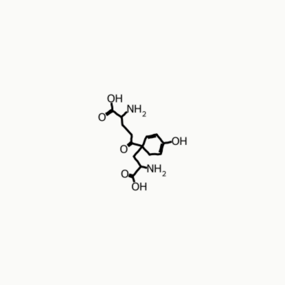 NC(CCC(=O)C1(CC(N)C(=O)O)C=CC(O)=CC1)C(=O)O